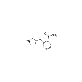 CN1CCC(Cc2ccccc2C(N)=O)C1